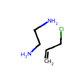 C=CCCl.NCCN